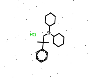 CC(C)([CH2][Sn]([CH]1CCCCC1)[CH]1CCCCC1)c1ccccc1.Cl